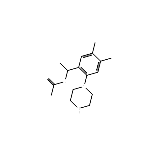 CC(=O)NC(C)c1cc(C)c(C)cc1N1CCNCC1